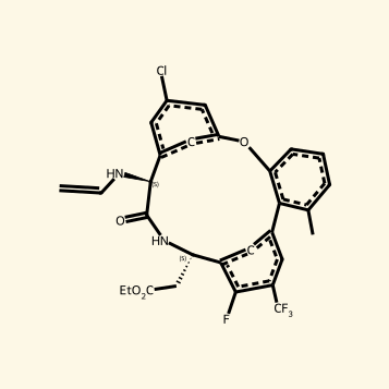 C=CN[C@@H]1C(=O)N[C@@H](CC(=O)OCC)c2cc(cc(C(F)(F)F)c2F)-c2c(C)cccc2Oc2cc(Cl)cc1c2